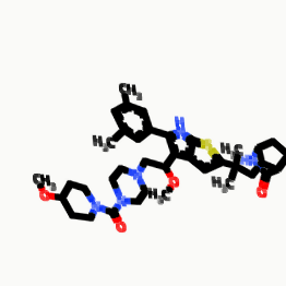 COC1CCN(C(=O)N2CCN(CC(OC)c3c(-c4cc(C)cc(C)c4)[nH]c4sc(C(C)(C)CC5C6CCC5C(=O)N6)cc34)CC2)CC1